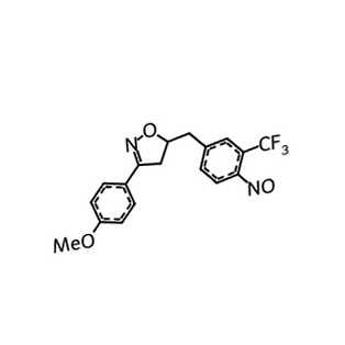 COc1ccc(C2=NOC(Cc3ccc(N=O)c(C(F)(F)F)c3)C2)cc1